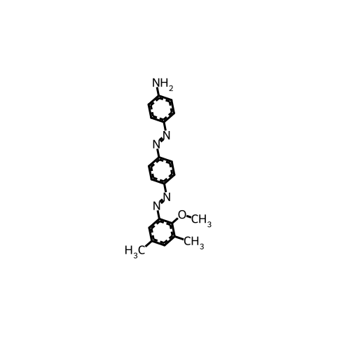 COc1c(C)cc(C)cc1/N=N/c1ccc(N=Nc2ccc(N)cc2)cc1